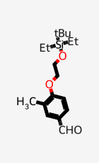 CC[Si](CC)(OCCOc1ccc(C=O)cc1C)C(C)(C)C